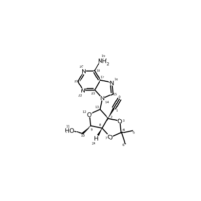 C#C[C@@]12OC(C)(C)O[C@@H]1[C@@H](CO)OC2n1cnc2c(N)ncnc21